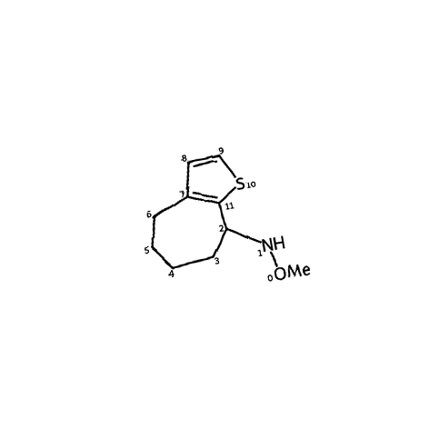 CONC1CCCCc2ccsc21